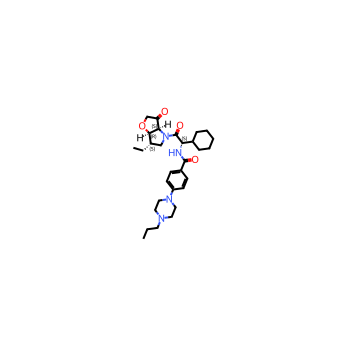 CCCN1CCN(c2ccc(C(=O)N[C@H](C(=O)N3C[C@H](CC)[C@H]4OCC(=O)[C@H]43)C3CCCCC3)cc2)CC1